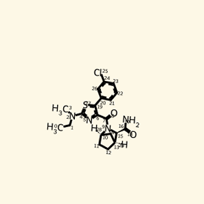 CCN(C)c1nc(C(=O)N2[C@@H]3CC[C@@H](C3)[C@@H]2C(N)=O)c(-c2cccc(Cl)c2)s1